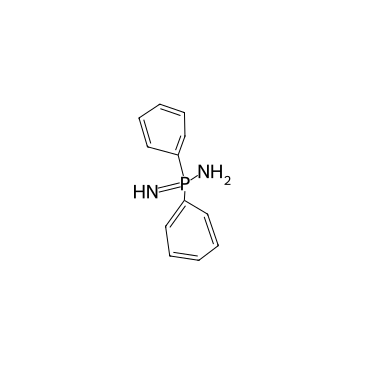 N=P(N)(c1ccccc1)c1ccccc1